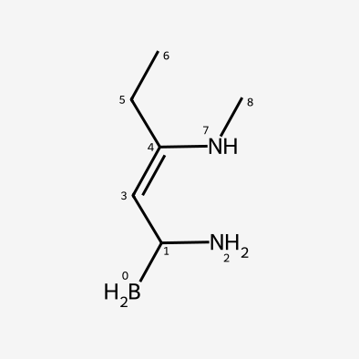 BC(N)/C=C(/CC)NC